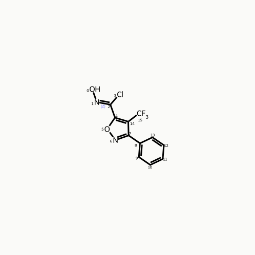 O/N=C(\Cl)c1onc(-c2ccccc2)c1C(F)(F)F